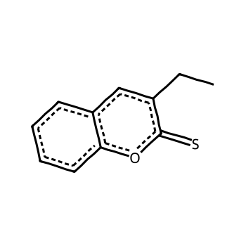 CCc1cc2ccccc2oc1=S